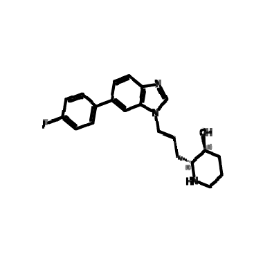 O[C@H]1CCCN[C@@H]1CCCn1cnc2ccc(-c3ccc(F)cc3)cc21